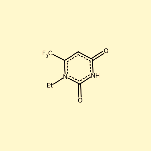 CCn1c(C(F)(F)F)cc(=O)[nH]c1=O